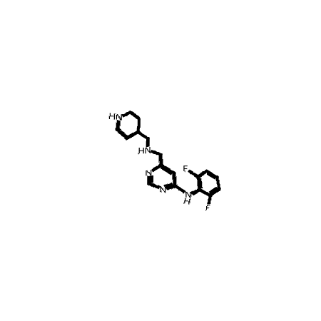 Fc1cccc(F)c1Nc1cc(CNCC2CCNCC2)ncn1